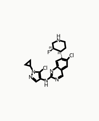 F[C@H]1CNCC[C@@H]1c1cc2nc(Nc3cnn(C4CC4)c3Cl)ncc2cc1Cl